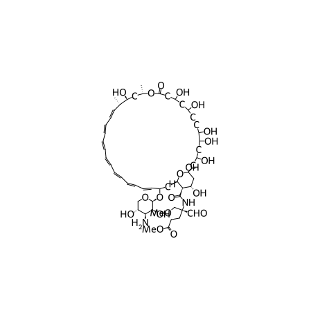 COC[C@@](C=O)(CCC(=O)OC)NC(=O)[C@H]1[C@@H]2CC(O[C@@H]3OC[C@@H](O)[C@H](N)[C@@H]3O)/C=C/C=C/C=C/C=C/C=C/C=C/C=C/[C@H](C)[C@@H](O)C[C@H](C)OC(=O)CC(O)CC(O)CCC(O)C(O)CC(O)CC(O)(C[C@@H]1O)O2